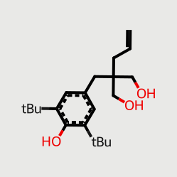 C=CCC(CO)(CO)Cc1cc(C(C)(C)C)c(O)c(C(C)(C)C)c1